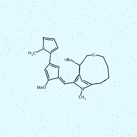 CCCCC1CCCCCCc2cc1c(C=C1N=C(c3cccn3C)C=C1OC)n2C